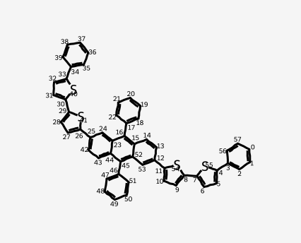 c1ccc(-c2ccc(-c3ccc(-c4ccc5c(-c6ccccc6)c6cc(-c7ccc(-c8ccc(-c9ccccc9)s8)s7)ccc6c(-c6ccccc6)c5c4)s3)s2)cc1